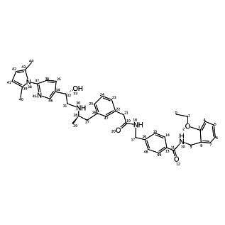 CCOc1ccccc1CNC(=O)c1ccc(CNC(=O)Cc2cccc(C[C@@H](C)NC[C@@H](O)c3ccc(-n4c(C)ccc4C)nc3)c2)cc1